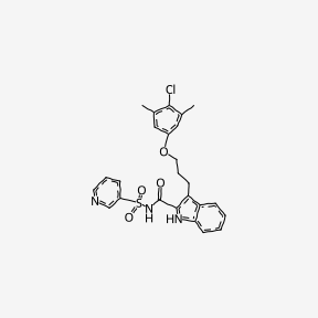 Cc1cc(OCCCc2c(C(=O)NS(=O)(=O)c3cccnc3)[nH]c3ccccc23)cc(C)c1Cl